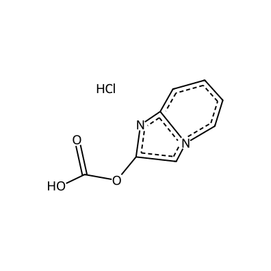 Cl.O=C(O)Oc1cn2ccccc2n1